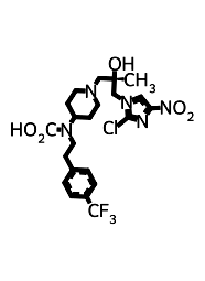 C[C@](O)(CN1CCC(N(CCc2ccc(C(F)(F)F)cc2)C(=O)O)CC1)Cn1cc([N+](=O)[O-])nc1Cl